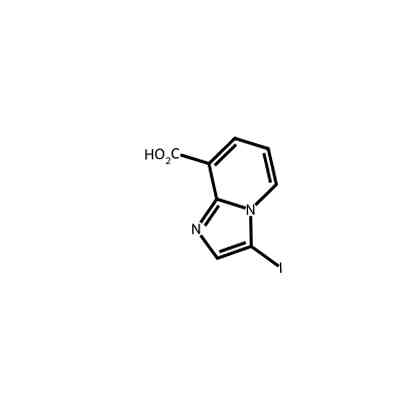 O=C(O)c1cccn2c(I)cnc12